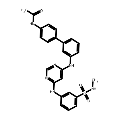 CNS(=O)(=O)c1cccc(Nc2cc(Nc3cccc(-c4ccc(NC(C)=O)cc4)c3)ncn2)c1